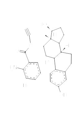 C#COC(=O)c1ccccc1N.C[C@]12CC[C@@H]3c4ccc(O)cc4CC[C@H]3[C@@H]1CC[C@@H]2O.Cl